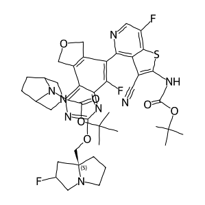 CC(C)(C)OC(=O)Nc1sc2c(F)cnc(-c3c4c(c5c(N6C7CCC6CN(C(=O)OC(C)(C)C)C7)nc(OC[C@@]67CCCN6CC(F)C7)nc5c3F)COC4)c2c1C#N